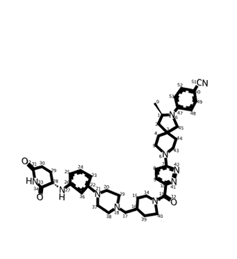 C[C@@H]1CC2(CCN(c3ccc(C(=O)N4CCC(CN5CCN(c6cccc(N[C@H]7CCC(=O)NC7=O)c6)CC5)CC4)nn3)CC2)CN1c1ccc(C#N)cc1